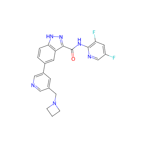 O=C(Nc1ncc(F)cc1F)c1n[nH]c2ccc(-c3cncc(CN4CCC4)c3)cc12